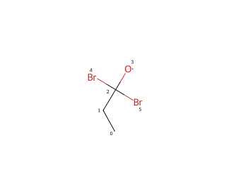 CCC([O])(Br)Br